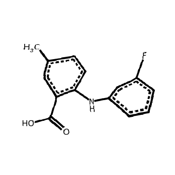 Cc1ccc(Nc2cccc(F)c2)c(C(=O)O)c1